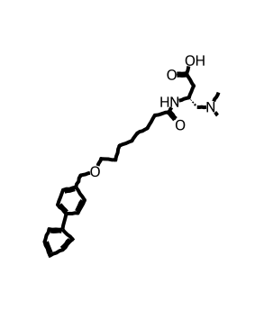 CN(C)C[C@@H](CC(=O)O)NC(=O)CCCCCCCOCc1ccc(-c2ccccc2)cc1